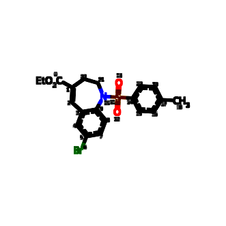 CCOC(=O)C1=Cc2cc(Br)ccc2N(S(=O)(=O)c2ccc(C)cc2)CC1